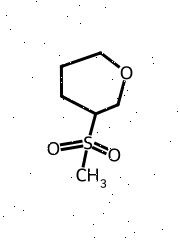 CS(=O)(=O)C1CCCOC1